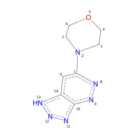 c1c(N2CCOCC2)nnc2nn[nH]c12